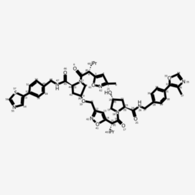 Cc1cc([C@H](C(=O)N2C[C@H](OCc3cc([C@H](C(=O)N4C[C@H](O)C[C@H]4C(=O)NCc4ccc(-c5ocnc5C)cc4)C(C)C)on3)C[C@H]2C(=O)NCc2ccc(-c3cncs3)cc2)C(C)C)on1